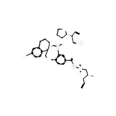 C=CC[C@H](C)[C@@H](C)S(=O)(=O)NC(=O)c1ccc2c(c1)N(C[C@@H]1CCO[C@H]1C(C=C)CO)C[C@@]1(CCCc3cc(Cl)ccc31)CO2